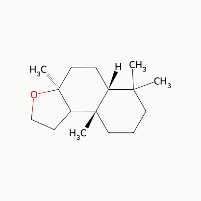 CC1(C)CCC[C@]2(C)C3CCO[C@@]3(C)CC[C@H]12